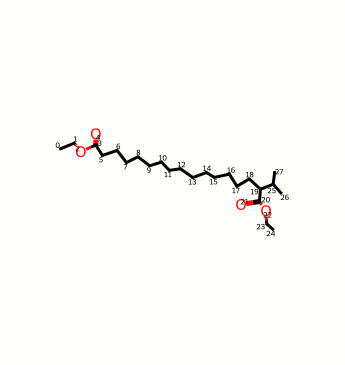 CCOC(=O)CCCCCCCCCCCCCCC(C(=O)OCC)C(C)C